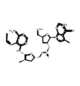 C/C=N\c1c(N)ncnc1N[C@@H]1O[C@H](CO[PH](=O)O[C@@H]2C[C@@H](COC)O[C@H]2n2cc(C)c3c(=O)[nH]cnc32)C[C@H]1C